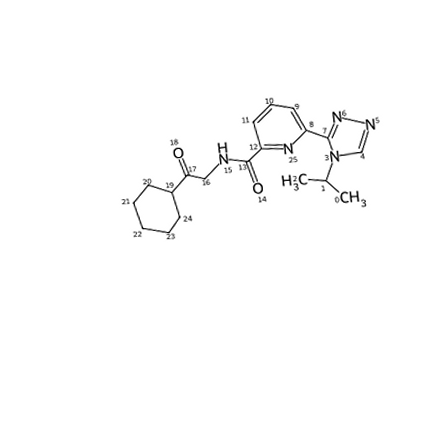 CC(C)n1cnnc1-c1cccc(C(=O)NCC(=O)C2CCCCC2)n1